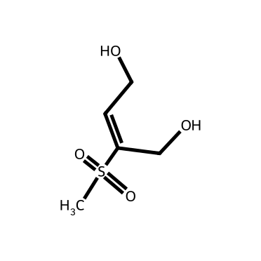 CS(=O)(=O)C(=CCO)CO